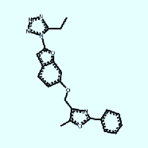 CCc1nnnn1-c1cc2ccc(OCc3nc(-c4ccccc4)oc3C)cc2o1